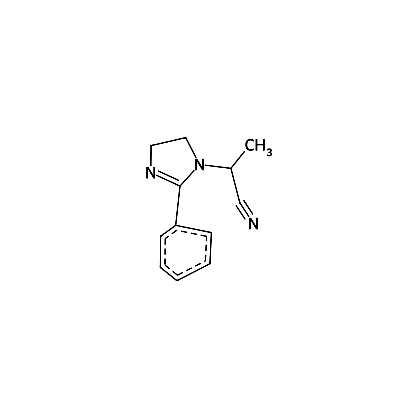 CC(C#N)N1CCN=C1c1ccccc1